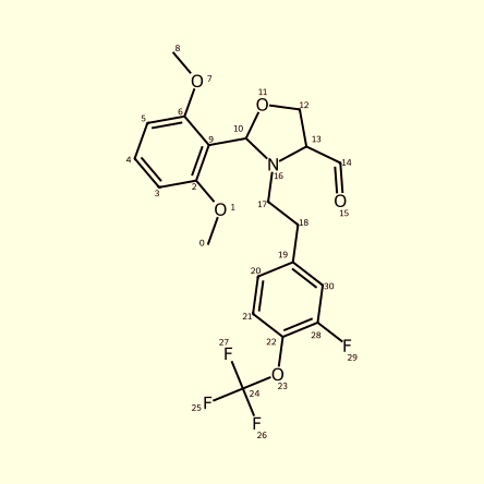 COc1cccc(OC)c1C1OCC(C=O)N1CCc1ccc(OC(F)(F)F)c(F)c1